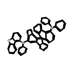 c1ccc(N(c2ccccc2)c2cccc3c2-c2ccccc2C32c3ccccc3-c3cc(N(c4ccccc4)c4cccc5oc6ccccc6c45)c4ccccc4c32)cc1